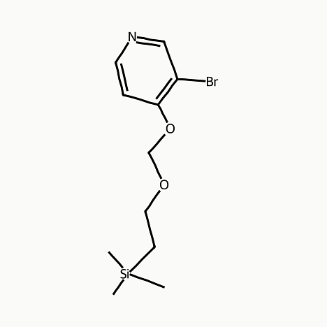 C[Si](C)(C)CCOCOc1ccncc1Br